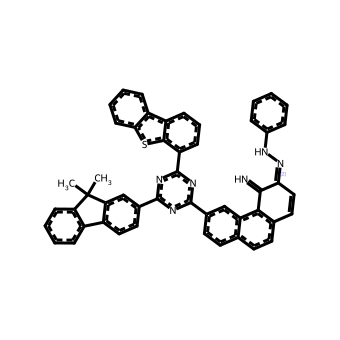 CC1(C)c2ccccc2-c2ccc(-c3nc(-c4ccc5ccc6c(c5c4)C(=N)/C(=N\Nc4ccccc4)C=C6)nc(-c4cccc5c4sc4ccccc45)n3)cc21